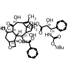 CCCCOC(=O)N[C@@H](c1ccccc1)[C@@H](O)C(=O)O[C@H]1C[C@@]2(O)[C@@H](OC(=O)c3ccccc3)[C@H]3[C@](C)(C(=O)[C@H](O)C(=C1C)C2(C)C)[C@H](O)CC1OC[C@]13OC(C)=O